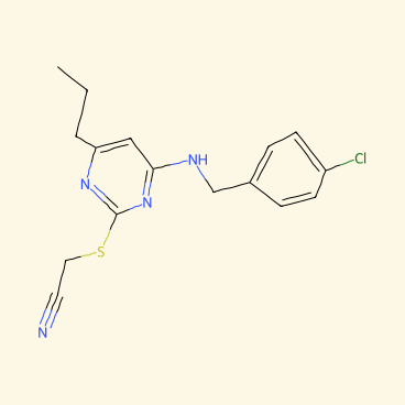 CCCc1cc(NCc2ccc(Cl)cc2)nc(SCC#N)n1